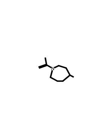 C=C(C)N1CCCC(C)CC1